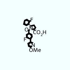 COc1ccc(-c2ccc(C(=O)N3[C@@H](c4ccccc4F)CC[C@H]3C(=O)O)cc2F)cn1